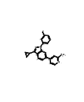 Cc1cccc(-n2nc(C3CC3)c3ccc(-c4ccnc(N)c4)cc32)c1